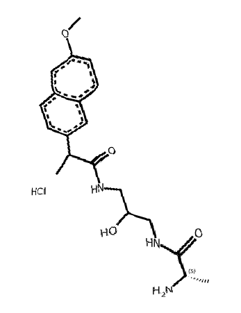 COc1ccc2cc(C(C)C(=O)NCC(O)CNC(=O)[C@H](C)N)ccc2c1.Cl